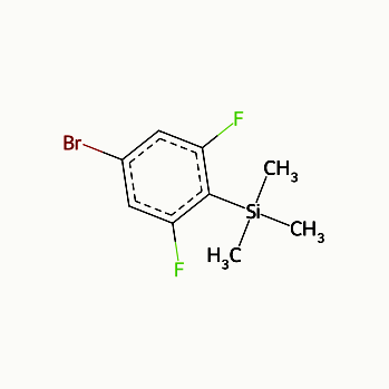 C[Si](C)(C)c1c(F)cc(Br)cc1F